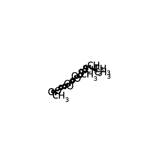 CCC1(COc2ccc3cc(OC(=O)c4ccc(C(=O)OC5CCC6(C)C(=CCC7C6CCC6(C)C(C(C)CCCC(C)C)CCC76)C5)cc4)ccc3c2)COC1